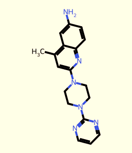 Cc1cc(N2CCN(c3ncccn3)CC2)nc2ccc(N)cc12